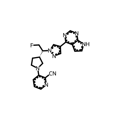 N#Cc1ncccc1N1CC[C@H](C(CF)n2cc(-c3ncnc4[nH]ccc34)cn2)C1